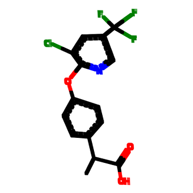 CC(C(=O)O)c1ccc(Oc2ncc(C(F)(F)F)cc2Cl)cc1